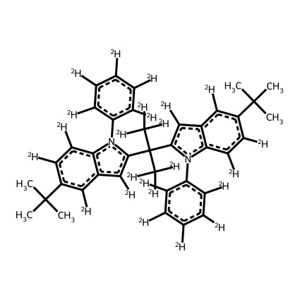 [2H]c1c([2H])c([2H])c(-n2c(C(c3c([2H])c4c([2H])c(C(C)(C)C)c([2H])c([2H])c4n3-c3c([2H])c([2H])c([2H])c([2H])c3[2H])(C([2H])([2H])[2H])C([2H])([2H])[2H])c([2H])c3c([2H])c(C(C)(C)C)c([2H])c([2H])c32)c([2H])c1[2H]